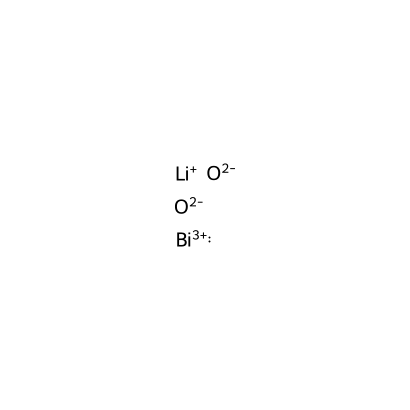 [Bi+3].[Li+].[O-2].[O-2]